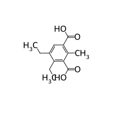 CCc1cc(C(=O)O)c(C)c(C(=O)O)c1CC